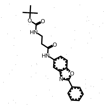 CC(C)(C)OC(=O)NCCC(=O)Nc1ccc2oc(-c3ccccc3)nc2c1